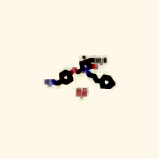 C[C@@]1(CC(=O)O)C[C@H](COc2ccc(CN)cc2)N(CCCc2ccccc2)C1=O.O.O